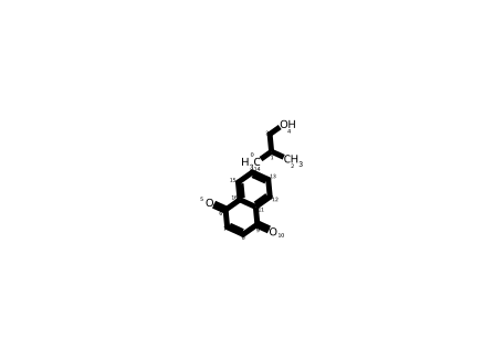 CC(C)CO.O=C1C=CC(=O)c2ccccc21